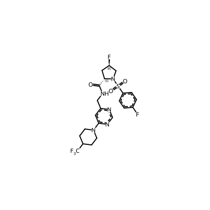 O=C(NCc1cc(N2CCC(C(F)(F)F)CC2)ncn1)[C@@H]1C[C@@H](F)CN1S(=O)(=O)c1ccc(F)cc1